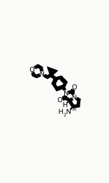 N[C@@H]1CCN2C(=O)N(c3ccc(C4(CN5CCOCC5)CC4)cc3)C(=O)[C@H]12